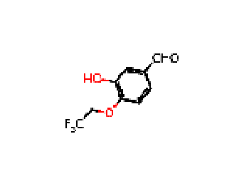 O=Cc1ccc(OCC(F)(F)F)c(O)c1